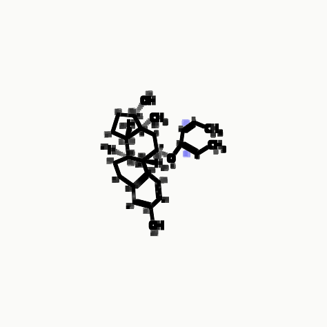 C/C=C\C(=C/C)O[C@H]1C[C@]2(C)[C@@H](O)CC[C@H]2[C@@H]2CCc3cc(O)ccc3[C@H]21